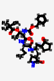 CCC[C@H](NC(=O)[C@@H](NC(=O)OCc1ccccc1)C(C)OC(=O)C(C)(C)C)C(=O)N[C@H](/C=C1\CCCC1=O)C[C@@H]1CCNC1=O